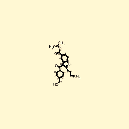 CCCCc1oc2ccc(C(=O)OC(C)C)cc2c1C(=O)C1C=CC(CO)=CC1